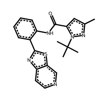 Cc1cc(C(=O)Nc2ccccc2-c2nc3ccncc3s2)n(C(C)(C)C)n1